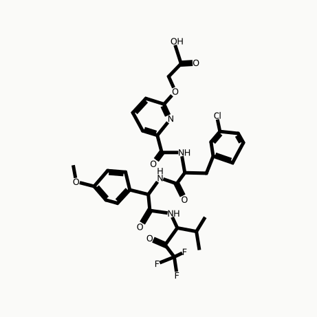 COc1ccc(C(NC(=O)C(Cc2cccc(Cl)c2)NC(=O)c2cccc(OCC(=O)O)n2)C(=O)NC(C(=O)C(F)(F)F)C(C)C)cc1